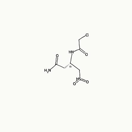 NC(=O)C[C@@H](C[SH](=O)=O)NC(=O)CCl